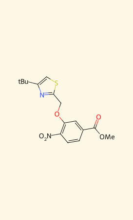 COC(=O)c1ccc([N+](=O)[O-])c(OCc2nc(C(C)(C)C)cs2)c1